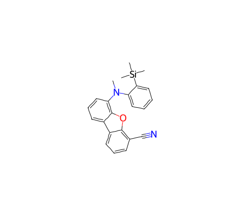 CN(c1ccccc1[Si](C)(C)C)c1cccc2c1oc1c(C#N)cccc12